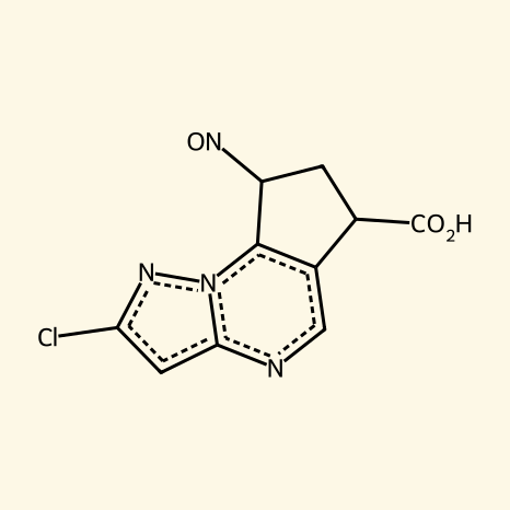 O=NC1CC(C(=O)O)c2cnc3cc(Cl)nn3c21